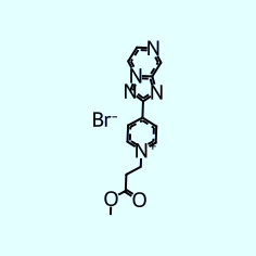 COC(=O)CC[n+]1ccc(-c2nc3cnccn3n2)cc1.[Br-]